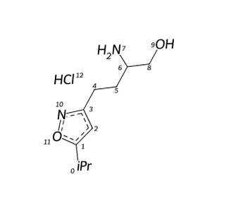 CC(C)c1cc(CCC(N)CO)no1.Cl